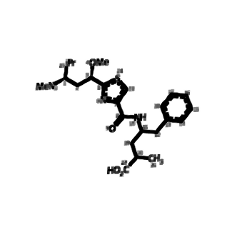 CN[C@H](C[C@@H](OC)c1nc(C(=O)NC(Cc2ccccc2)CC(C)C(=O)O)cs1)C(C)C